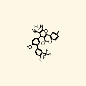 COc1ccc(C2C(C#N)=C(N)Oc3c2c(=O)oc2ccc(C)cc32)cc1-c1ccc(Cl)c(C(F)(F)F)c1